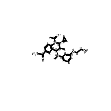 CC(=O)N1c2ccc(C(N)=O)cc2[C@H](N(C)c2cccc(OCCO)c2)C(C)[C@@H]1C1CC1